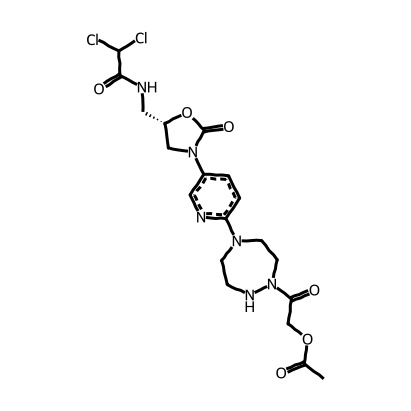 CC(=O)OCC(=O)N1CCN(c2ccc(N3C[C@H](CNC(=O)C(Cl)Cl)OC3=O)cn2)CCN1